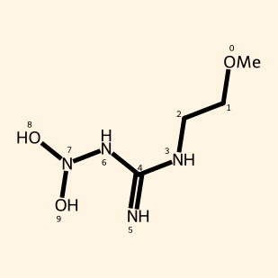 COCCNC(=N)NN(O)O